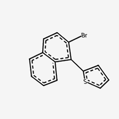 Brc1ccc2ccccc2c1-c1cccs1